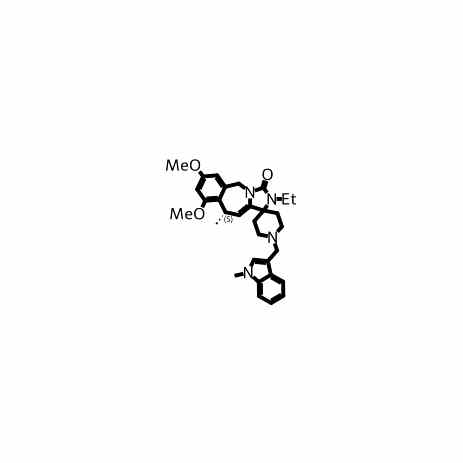 CCN1C(=O)N2Cc3cc(OC)cc(OC)c3[C@@H](C)C=C2C12CCN(Cc1cn(C)c3ccccc13)CC2